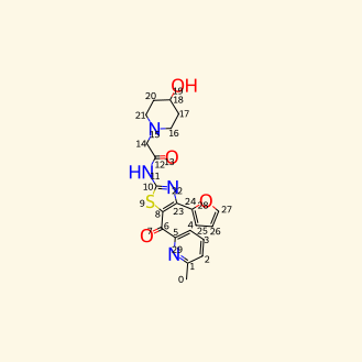 Cc1cccc(C(=O)c2sc(NC(=O)CN3CCC(O)CC3)nc2-c2ccco2)n1